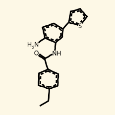 CCc1ccc(C(=O)Nc2cc(-c3cccs3)ccc2N)cc1